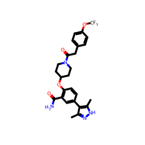 Cc1n[nH]c(C)c1-c1ccc(OC2CCN(C(=O)Cc3ccc(OC(F)(F)F)cc3)CC2)c(C(N)=O)c1